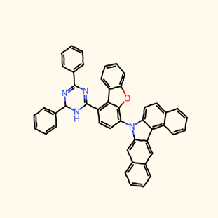 c1ccc(C2=NC(c3ccccc3)NC(c3ccc(-n4c5cc6ccccc6cc5c5c6ccccc6ccc54)c4oc5ccccc5c34)=N2)cc1